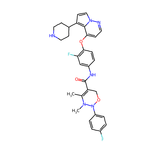 CC1=C(C(=O)Nc2ccc(Oc3ccnn4ccc(C5CCNCC5)c34)c(F)c2)CON(c2ccc(F)cc2)N1C